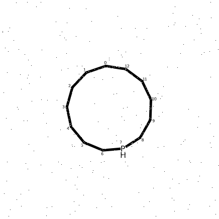 C1CCCCCCPCCCCC1